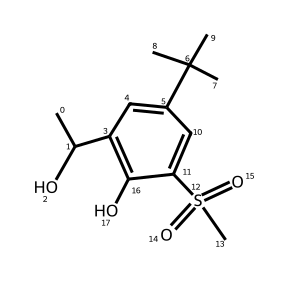 CC(O)c1cc(C(C)(C)C)cc(S(C)(=O)=O)c1O